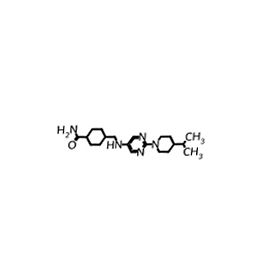 CC(C)C1CCN(c2ncc(NCC3CCC(C(N)=O)CC3)cn2)CC1